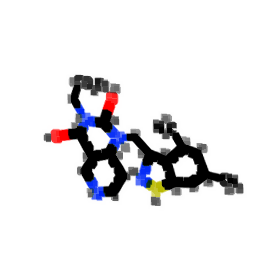 CCOC(=O)Cn1c(=O)c2cnccc2n(Cc2nsc3cc(C)cc(C)c23)c1=O